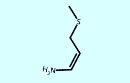 CSC/C=C\N